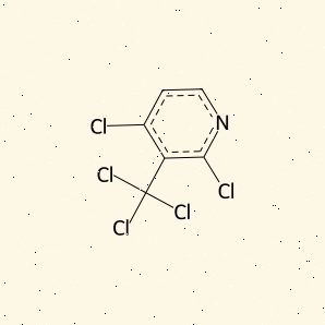 Clc1ccnc(Cl)c1C(Cl)(Cl)Cl